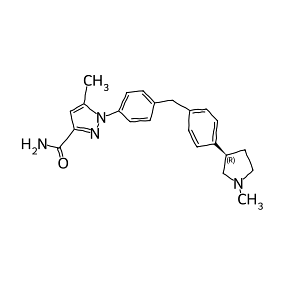 Cc1cc(C(N)=O)nn1-c1ccc(Cc2ccc([C@H]3CCN(C)C3)cc2)cc1